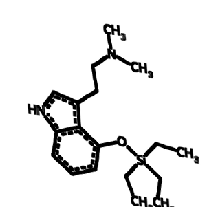 CC[Si](CC)(CC)Oc1cccc2[nH]cc(CCN(C)C)c12